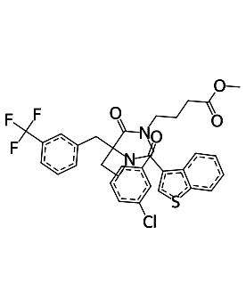 COC(=O)CCCN(Cc1cccc(Cl)c1)C(=O)C1(Cc2cccc(C(F)(F)F)c2)CCN1C(=O)c1csc2ccccc12